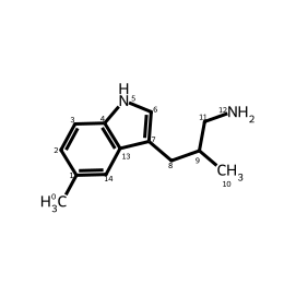 Cc1ccc2[nH]cc(CC(C)CN)c2c1